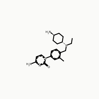 CCN(Cc1ccc(-n2ccc(N)nc2=O)cc1C)[C@H]1CC[C@H](N)CC1